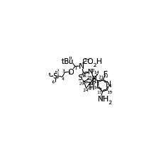 CC(C)(C)C(OCC[Si](C)(C)C)N(C(=O)O)C1=N[C@](C)(c2cc(N)cnc2F)[C@@H]2C[C@]2(CF)S1